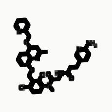 Cc1cc(OCc2ccccn2)c2cccc(OCc3c(Cl)ccc(N(C)C(=O)CNC(=O)/C=C/c4ccc(N)nc4)c3Cl)c2n1